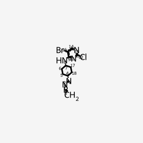 C=BN=N[C@H]1CC[C@@H](Nc2nc(Cl)ncc2Br)CC1